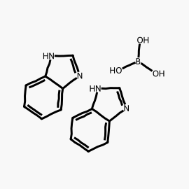 OB(O)O.c1ccc2[nH]cnc2c1.c1ccc2[nH]cnc2c1